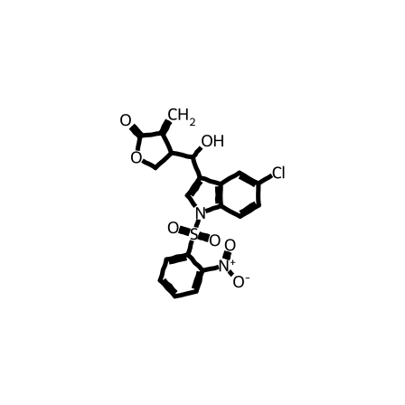 C=C1C(=O)OCC1C(O)c1cn(S(=O)(=O)c2ccccc2[N+](=O)[O-])c2ccc(Cl)cc12